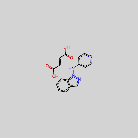 O=C(O)C=CC(=O)O.c1ccc2c(c1)cnn2Nc1ccncc1